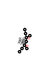 C[Si]1(C)c2cc(-c3ccc(-c4ccccc4)cc3)c3c(oc4ccccc43)c2-c2ccc3c(c21)[Si](C)(C)c1cc(-c2ccc(-c4ccccc4)cc2)c2c(oc4ccccc42)c1-3